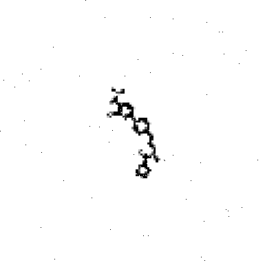 CN(C)C(=O)c1ccc(N2CCC(CCCN(C)C(=O)C3CCCO3)CC2)nc1Cl